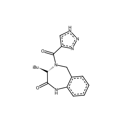 CC[C@H](C)[C@H]1C(=O)Nc2ccccc2CN1C(=O)c1c[nH]nn1